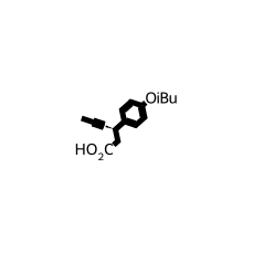 CC#C[C@@H](CC(=O)O)c1ccc(OCC(C)C)cc1